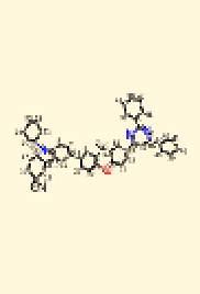 CC1(C)c2cc(-c3ccc4c(c3)c3cc(C#N)ccc3n4-c3ccccc3)ccc2Oc2ccc(-c3cc(-c4ccccc4)nc(-c4ccccc4)n3)cc21